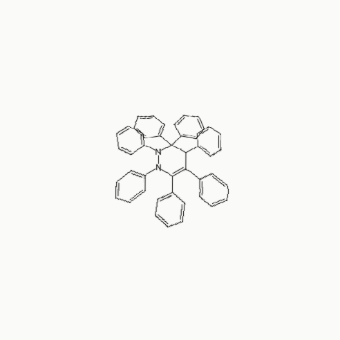 c1ccc(C2=C(c3ccccc3)N(c3ccccc3)N(c3ccccc3)C(c3ccccc3)(c3ccccc3)C2c2ccccc2)cc1